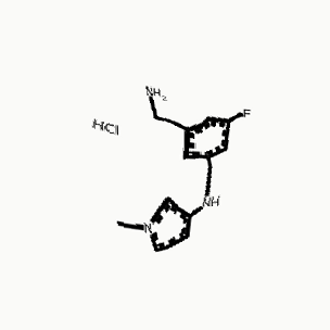 Cl.Cn1ccc(Nc2cc(F)cc(CN)c2)c1